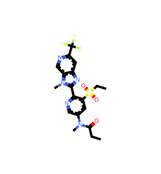 CCC(=O)N(C)c1cnc(-c2nc3cc(C(F)(F)F)ncc3n2C)c(S(=O)(=O)CC)c1